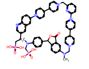 CN(C[n+]1ccc(-c2cc[n+](-c3cccc(C[n+]4ccc(-c5cc[n+](-c6ccc7ncc(CCP(=O)(O)O)cc7c6)cc5)cc4)n3)cc2)cc1)c1ccc2c(c1)C(=O)OC2c1ccc(N(C)CP(=O)(O)O)cc1